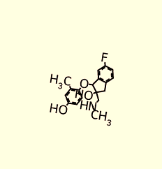 CNCC1(O)Cc2ccc(F)cc2C1Oc1ccc(O)cc1C